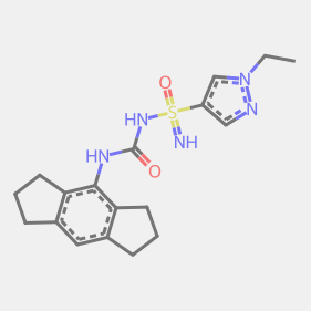 CCn1cc(S(=N)(=O)NC(=O)Nc2c3c(cc4c2CCC4)CCC3)cn1